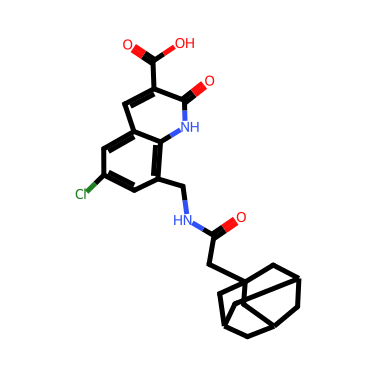 O=C(CC12CC3CC(CC(C3)C1)C2)NCc1cc(Cl)cc2cc(C(=O)O)c(=O)[nH]c12